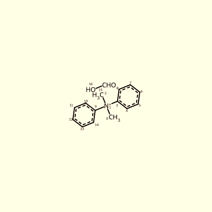 C[N+](C)(c1ccccc1)c1ccccc1.O=CO